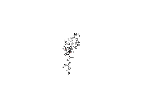 C=N/C(=C\N=C(/C)C(=O)Nc1ccc(F)c([C@@]2(C)N=C(N)O[C@@H]3COC(c4cnn(C)c4)C32)c1)OCF